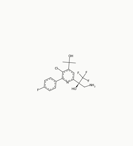 CC(C)(O)c1cc([C@@](O)(CN)C(F)(F)F)nc(-c2ccc(F)cc2)c1Cl